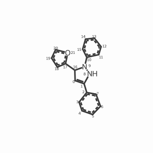 C1=C(c2ccccc2)NN(c2ccccc2)C1c1ccco1